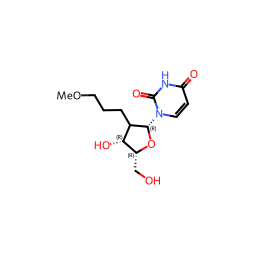 COCCCC1[C@@H](O)[C@@H](CO)O[C@H]1n1ccc(=O)[nH]c1=O